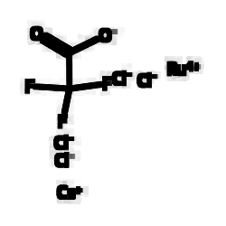 O=C([O-])C(F)(F)F.[Cl-].[Cl-].[Cl-].[Cl-].[Cs+].[Ru+4]